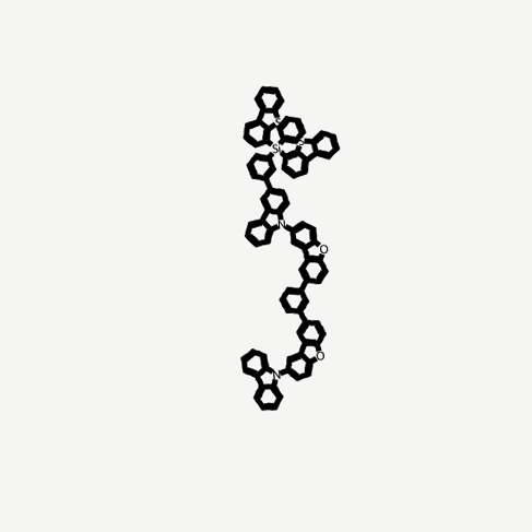 c1ccc([Si](c2cccc(-c3ccc4c(c3)c3ccccc3n4-c3ccc4oc5ccc(-c6cccc(-c7ccc8oc9ccc(-n%10c%11ccccc%11c%11ccccc%11%10)cc9c8c7)c6)cc5c4c3)c2)(c2cccc3c2sc2ccccc23)c2cccc3c2sc2ccccc23)cc1